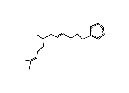 CC(C)=CCCC(C)CC=COCCc1ccccc1